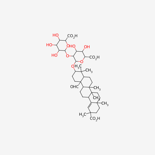 CC1(C(=O)O)C=C2C3CCC4C5(C=O)CCC(OC6OC(C(=O)O)C(O)C(O)C6OC6OC(C(=O)O)C(O)C(O)C6O)C(C)(C)C5CCC4(C)C3(C)CCC2(C)CC1